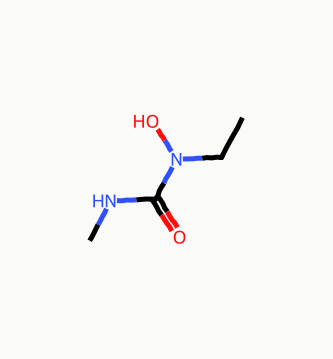 CCN(O)C(=O)NC